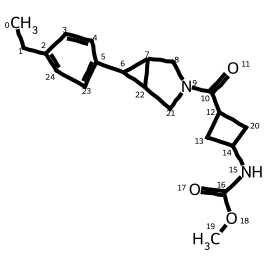 CCc1ccc(C2C3CN(C(=O)C4CC(NC(=O)OC)C4)CC32)cc1